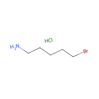 Cl.NCCCCCBr